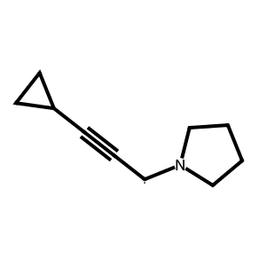 C(#CC1CC1)[CH]N1CCCC1